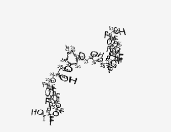 OCC(F)(F)OC(F)(F)OC(F)(F)C(F)(F)OC(F)(F)COCC(O)COc1cccc(OCC(O)COCC(F)(F)OC(F)(F)OC(F)(F)C(F)(F)OC(F)(F)CO)c1